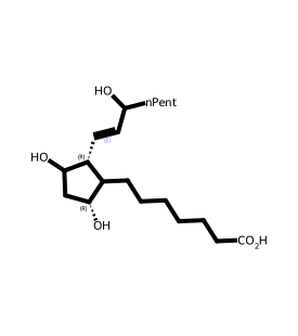 CCCCCC(O)/C=C/[C@H]1C(O)C[C@@H](O)C1CCCCCCC(=O)O